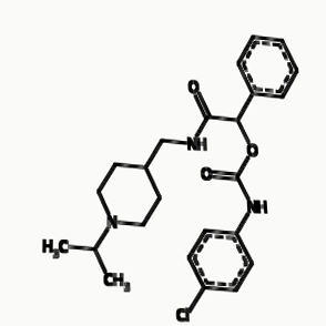 CC(C)N1CCC(CNC(=O)C(OC(=O)Nc2ccc(Cl)cc2)c2ccccc2)CC1